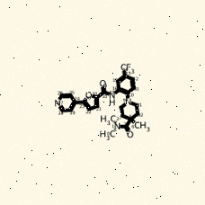 CN(C)C(=O)C1(C)CCN(c2ccc(C(F)(F)F)cc2NC(=O)c2ccc(-c3ccncc3)o2)CC1